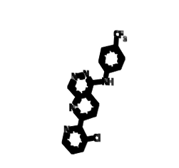 FC(F)(F)c1ccc(Nc2nncc3nc(-c4ncccc4Cl)ccc23)cc1